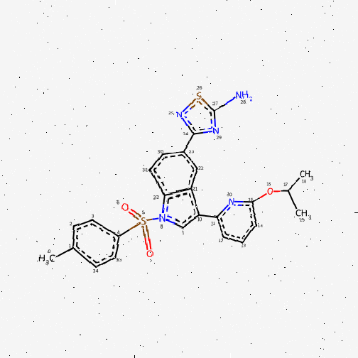 Cc1ccc(S(=O)(=O)n2cc(-c3cccc(OC(C)C)n3)c3cc(-c4nsc(N)n4)ccc32)cc1